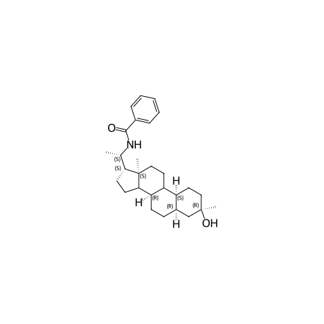 C[C@H](NC(=O)c1ccccc1)[C@H]1CCC2[C@@H]3CC[C@@H]4C[C@](C)(O)CC[C@@H]4C3CC[C@@]21C